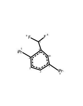 C[C](C)c1ccc(C(C)C)c(C(F)F)c1